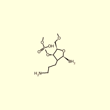 B[C@@H]1O[C@H](COC)[C@H](OP(=O)(O)OC)C1CCCN